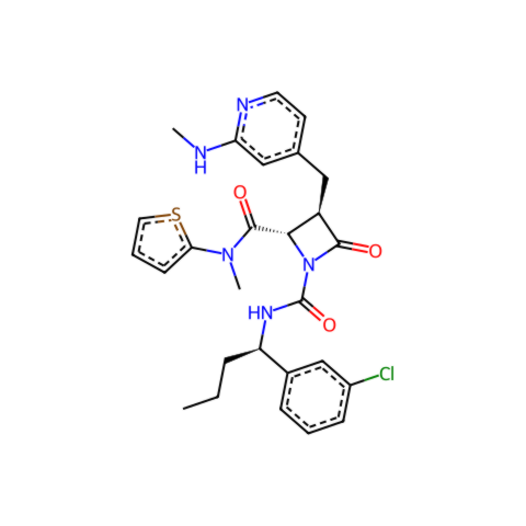 CCC[C@@H](NC(=O)N1C(=O)[C@H](Cc2ccnc(NC)c2)[C@H]1C(=O)N(C)c1cccs1)c1cccc(Cl)c1